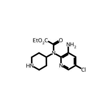 CCOC(=O)C(=O)N(c1ncc(Cl)cc1N)C1CCNCC1